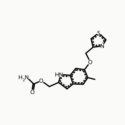 Cc1cc2cc(COC(N)=O)[nH]c2cc1OCc1cscn1